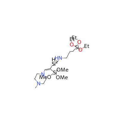 CCO[Si](CCCNC[SiH2]C(=CN1CCN(C)CC1)[Si](OC)(OC)OC)(OCC)OCC